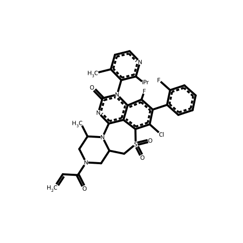 C=CC(=O)N1CC(C)N2c3nc(=O)n(-c4c(C)ccnc4C(C)C)c4c(F)c(-c5ccccc5F)c(Cl)c(c34)S(=O)(=O)CC2C1